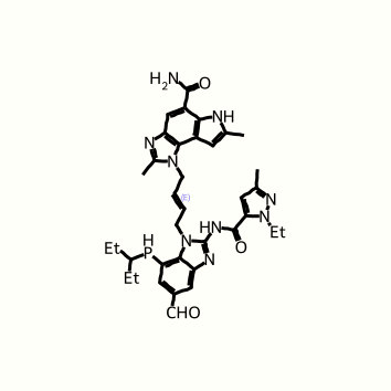 CCC(CC)Pc1cc(C=O)cc2nc(NC(=O)c3cc(C)nn3CC)n(C/C=C/Cn3c(C)nc4cc(C(N)=O)c5[nH]c(C)cc5c43)c12